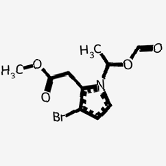 COC(=O)Cc1c(Br)ccn1C(C)OC=O